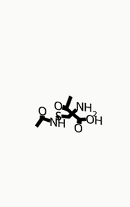 CC(=O)NSCC(N)(C(C)=O)C(=O)O